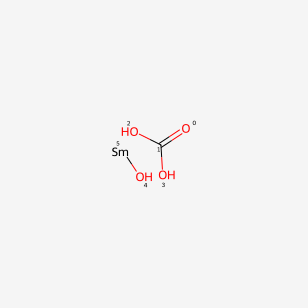 O=C(O)O.[OH][Sm]